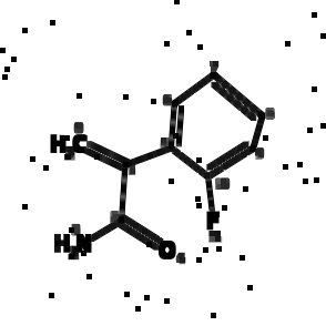 C=C(C(N)=O)c1ccccc1F